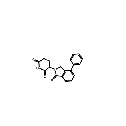 O=C1CCC(N2Cc3c(cccc3-c3ccccc3)C2=O)C(=O)N1